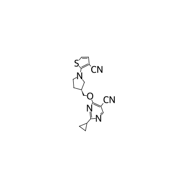 N#Cc1cnc(C2CC2)nc1OC[C@H]1CCN(c2sccc2C#N)C1